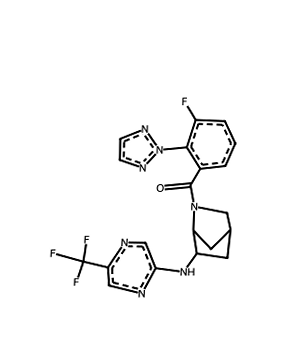 O=C(c1cccc(F)c1-n1nccn1)N1CC2CC(Nc3cnc(C(F)(F)F)cn3)C1C2